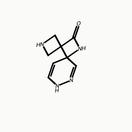 O=C1NC2(C=CNN=C2)C12CNC2